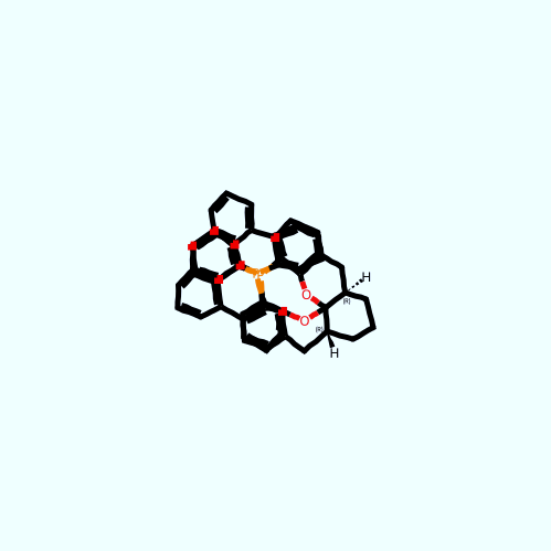 c1ccc(-c2ccc3c(c2P(c2ccccc2)c2ccccc2)OC24Oc5c(ccc(-c6ccccc6)c5P(c5ccccc5)c5ccccc5)C[C@H]2CCC[C@@H]4C3)cc1